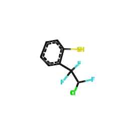 FC(Cl)C(F)(F)c1ccccc1S